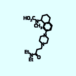 CCN(CC)C(=O)CCN1CCN(c2ccc3c(c2)C(N(C)C(=O)O)CCC3)CC1